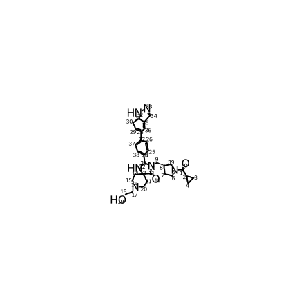 O=C(C1CC1)N1CC[C@@H](CN2C(=O)C3(CCN(CCO)CC3)NC2c2ccc(C3=CCC4NN=CC4=C3)cc2)C1